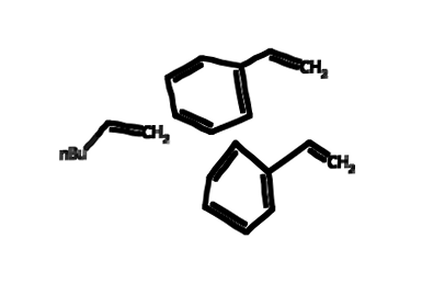 C=CCCCC.C=Cc1ccccc1.C=Cc1ccccc1